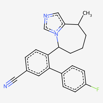 CC1CCCC(c2ccc(C#N)cc2-c2ccc(F)cc2)n2cncc21